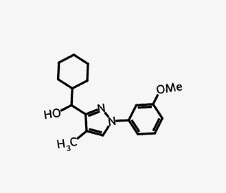 COc1cccc(-n2cc(C)c(C(O)C3CCCCC3)n2)c1